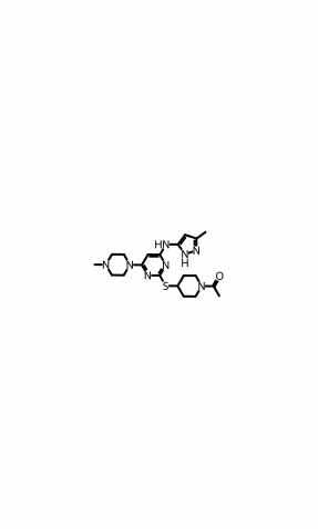 CC(=O)N1CCC(Sc2nc(Nc3cc(C)n[nH]3)cc(N3CCN(C)CC3)n2)CC1